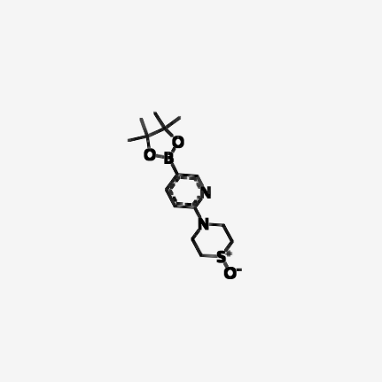 CC1(C)OB(c2ccc(N3CC[S+]([O-])CC3)nc2)OC1(C)C